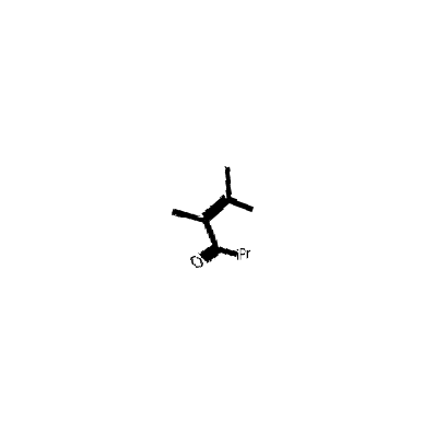 CC(C)=C(C)C(=O)C(C)C